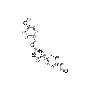 COc1ccc(COc2nc(C3=CCC(CC=O)CC3)cs2)cc1